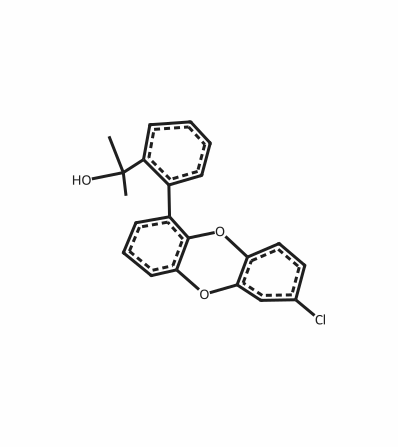 CC(C)(O)c1ccccc1-c1cccc2c1Oc1ccc(Cl)cc1O2